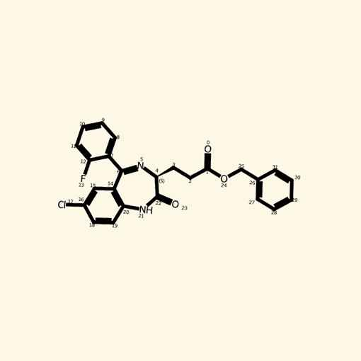 O=C(CC[C@@H]1N=C(c2ccccc2F)c2cc(Cl)ccc2NC1=O)OCc1ccccc1